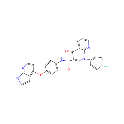 O=C(Nc1ccc(Oc2ccnc3[nH]ccc23)cc1)c1cn(-c2ccc(F)cc2)c2ncccc2c1=O